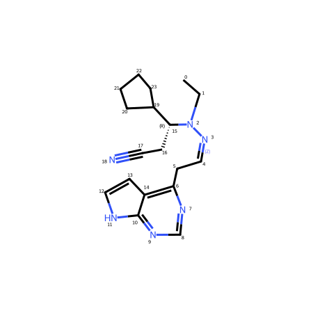 CCN(/N=C\Cc1ncnc2[nH]ccc12)[C@H](CC#N)C1CCCC1